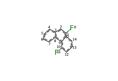 Fc1cc2c[c]ccc2c2c(F)c[c]cc12